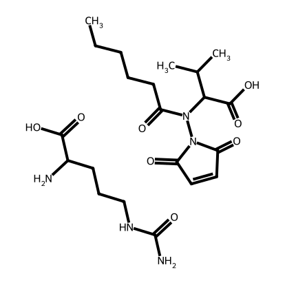 CCCCCC(=O)N(C(C(=O)O)C(C)C)N1C(=O)C=CC1=O.NC(=O)NCCCC(N)C(=O)O